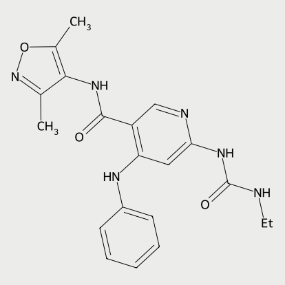 CCNC(=O)Nc1cc(Nc2ccccc2)c(C(=O)Nc2c(C)noc2C)cn1